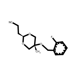 C[C@]1(OCc2ccccc2F)CO[C@H](CCC#N)OC1